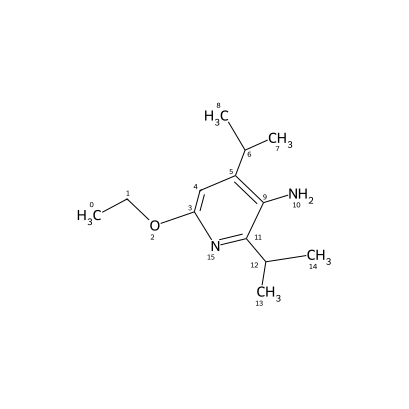 CCOc1cc(C(C)C)c(N)c(C(C)C)n1